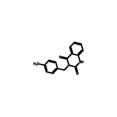 Cc1ccc(Cn2c(=O)[nH]c3ccccc3c2=O)cc1